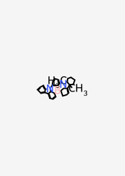 CC12CCCCC1(C)N1c3cccc4c3B(C3C=CC=C5c6ccccc6N4C53)C3CCC=C2C31